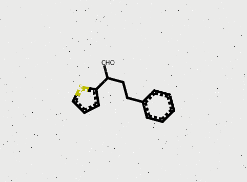 O=CC(CCc1ccccc1)c1cccs1